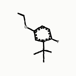 CCOc1ccc(F)c(C(C)(C)C)c1